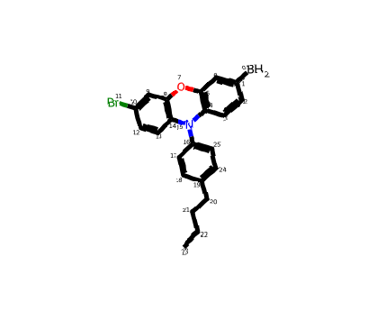 Bc1ccc2c(c1)Oc1cc(Br)ccc1N2c1ccc(CCCC)cc1